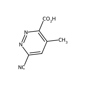 Cc1cc(C#N)nnc1C(=O)O